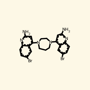 Nc1cc(N2CCCN(c3cc(N)nc4ccc(Br)cc34)CC2)c2cc(Br)ccc2n1